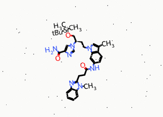 Cc1cn(CC[C@H](CO[Si](C)(C)C(C)(C)C)n2cnc(C(N)=O)c2)c2cc(NC(=O)CCc3nc4ccccc4n3C)ccc12